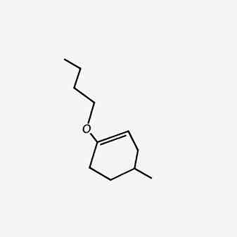 CCCCOC1=CCC(C)CC1